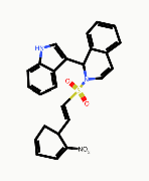 O=[N+]([O-])C1=CC=CCC1/C=C/S(=O)(=O)N1C=Cc2ccccc2C1c1c[nH]c2ccccc12